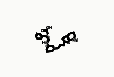 O=C(O)C[C@H](CN[C@@H]1CCCN(CCCc2ccc3c(n2)NCCC3)C1)c1ccccc1